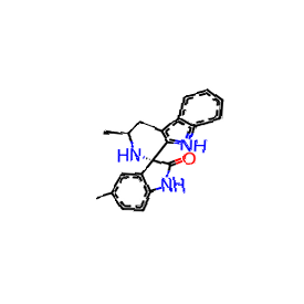 Cc1ccc2c(c1)[C@]1(N[C@@H](C)Cc3c1[nH]c1ccccc31)C(=O)N2